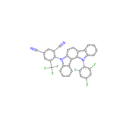 N#Cc1cc(C#N)c(-n2c3ccccc3c3c2ccc2c4ccccc4n(-c4c(F)cc(F)cc4F)c23)c(C(F)(F)F)c1